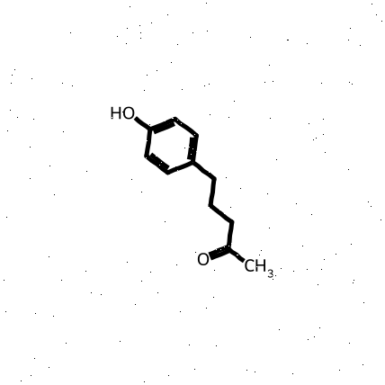 CC(=O)CCCc1ccc(O)cc1